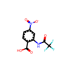 O=C(O)c1ccc([N+](=O)[O-])cc1NC(=O)C(F)(F)F